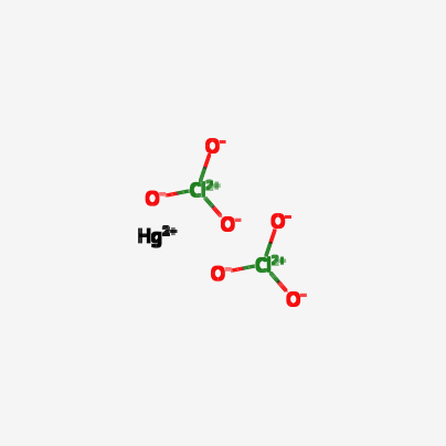 [Hg+2].[O-][Cl+2]([O-])[O-].[O-][Cl+2]([O-])[O-]